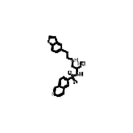 CC(CNCCc1ccc2sccc2c1)NS(=O)(=O)c1ccc2cnccc2c1.Cl